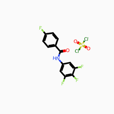 O=C(Nc1cc(F)c(F)c(F)c1)c1ccc(F)cc1.O=S(=O)(Cl)Cl